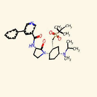 CC(C)N(C)[C@@H]1CC[C@H](N2CC[C@H](NC(=O)c3cncc(-c4ccccc4)c3)C2=O)[C@H](CS(=O)(=O)C(C)(C)C)C1